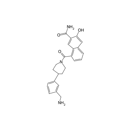 NCc1cccc(C2CCN(C(=O)c3cccc4cc(O)c(C(N)=O)cc34)CC2)c1